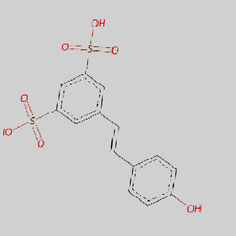 O=S(=O)(O)c1cc(C=Cc2ccc(O)cc2)cc(S(=O)(=O)O)c1